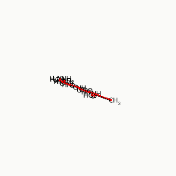 CCCCCCCCCCCCCCCC(=O)NC(CCC(=O)NCCOCCOCC(=O)NCCOCCOCC(=O)NCCCCC(NCN)C(=O)CN[C@@H](CO)C(N)=O)C(=O)O